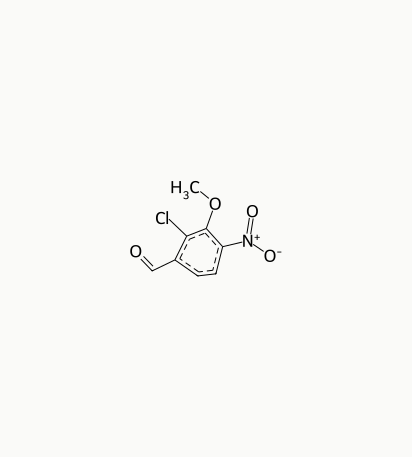 COc1c([N+](=O)[O-])ccc(C=O)c1Cl